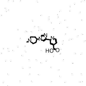 CN1CCC(n2cnc(-c3cc(C(=O)O)ccn3)c2)CC1